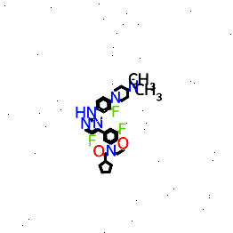 CN(C)C1CCN(c2ccc(Nc3ncc(F)c(-c4cc(F)c5c(c4)N(C(=O)C4CCCC4)CCO5)n3)cc2F)CC1